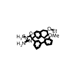 CCOC1CCc2cc(C3(c4cccc(-c5cccc(OC)c5)c4)N=C(N)N(C)C3=O)ccc2C1